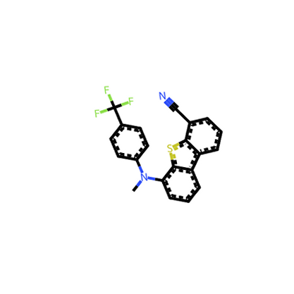 CN(c1ccc(C(F)(F)F)cc1)c1cccc2c1sc1c(C#N)cccc12